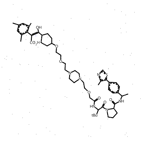 Cc1cc(C)c(/C(C(=O)O)=C(\O)C2CCC(OCCOCCN3CCN(CCOCC(=O)NC(C(=O)N4CCCC4C(=O)NC(C)c4ccc(-c5scnc5C)cc4)C(C)(C)C)CC3)CC2)c(C)c1